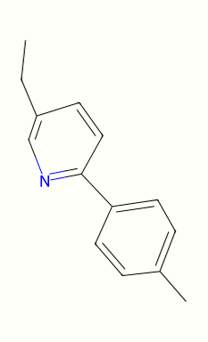 CCc1ccc(-c2ccc(C)cc2)nc1